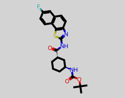 CC(C)(C)OC(=O)N[C@H]1CCC[C@H](C(=O)Nc2nc3ccc4cc(F)ccc4c3s2)C1